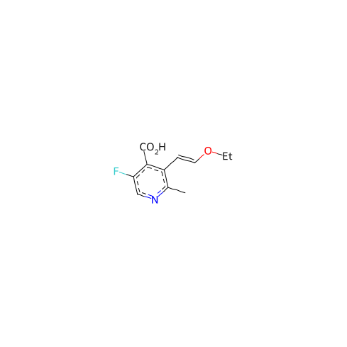 CCOC=Cc1c(C)ncc(F)c1C(=O)O